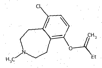 C=C(CC)Oc1ccc(Cl)c2c1CCN(C)CC2